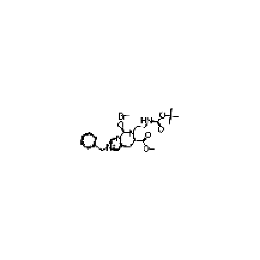 COC(=O)C1Cc2c[n+](Cc3ccccc3)cn2C(=O)N1CCNC(=O)OC(C)(C)C.[Br-]